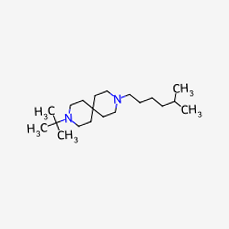 CC(C)CCCCN1CCC2(CC1)CCN(C(C)(C)C)CC2